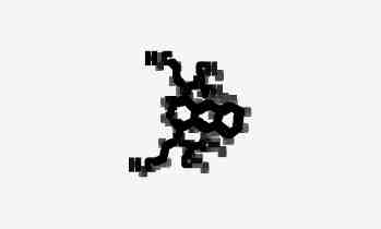 CCCN(c1nnc(N(CCC)N(C)C)c2cc3ccccc3cc12)N(C)C